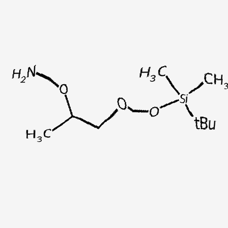 CC(COO[Si](C)(C)C(C)(C)C)ON